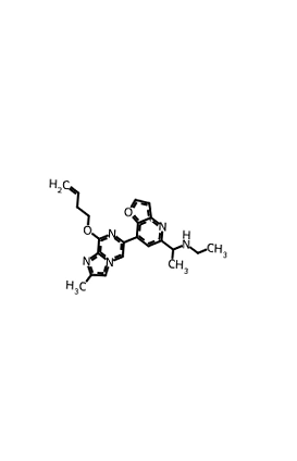 C=CCCOc1nc(-c2cc(C(C)NCC)nc3ccoc23)cn2cc(C)nc12